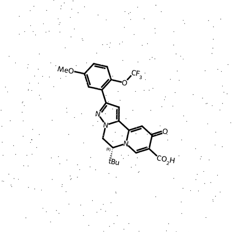 COc1ccc(OC(F)(F)F)c(-c2cc3n(n2)C[C@@H](C(C)(C)C)n2cc(C(=O)O)c(=O)cc2-3)c1